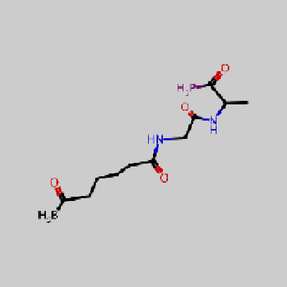 BC(=O)CCCCC(=O)NCC(=O)NC(C)C(=O)P